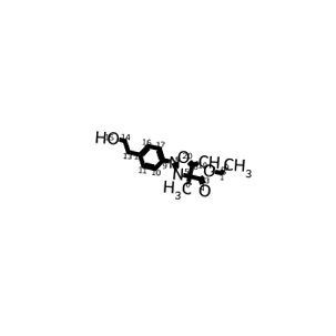 CCOC(=O)C(C)(N=Nc1ccc(CCO)cc1)C(C)=O